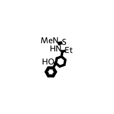 CCC(NC(=S)NC)C1CCCC(O)(c2ccccc2)C1